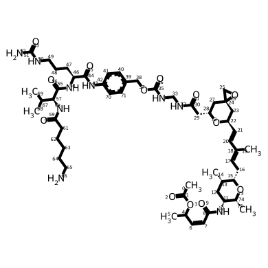 CC(=O)OC(C)/C=C\C(=O)N[C@@H]1C[C@H](C)[C@H](C/C=C(C)/C=C/[C@@H]2C[C@]3(CO3)C[C@@H](CC(=O)NCNC(=O)OCc3ccc(NC(=O)[C@H](CCCNC(N)=O)NC(=O)[C@@H](NC(=O)CCCCCN)C(C)C)cc3)O2)O[C@@H]1C